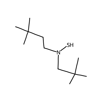 CC(C)(C)CCN(S)CC(C)(C)C